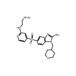 CC(=O)NCCNc1cc(S(=O)(=O)c2ccc3c(c2)nc(C(C)(C)C)n3CC2CCOCC2)ccn1